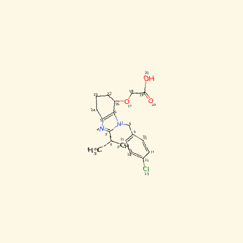 CC(C)c1nc2c(n1Cc1ccc(Cl)cc1)C(OCC(=O)O)CCC2